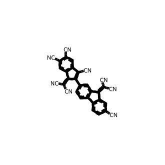 N#CC(C#N)=C1C(c2ccc3c(c2)C(=C(C#N)C#N)c2cc(C#N)ccc2-3)=C(C#N)c2cc(C#N)c(C#N)cc21